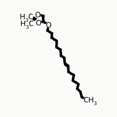 CCCCCCCCC=CCCCCCCCCOC1COC(C)(C)O1